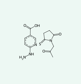 CC(=O)CN1C(=O)CCC1=S.NNc1ccc(C(=O)O)cn1